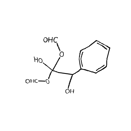 O=COC(O)(OC=O)C(O)c1ccccc1